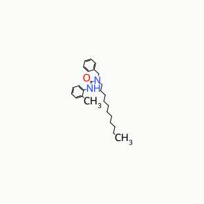 CCCCCCCCCCCN(Cc1ccccc1)C(=O)Nc1ccccc1C